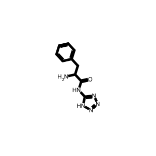 NC(Cc1ccccc1)C(=O)Nc1nnn[nH]1